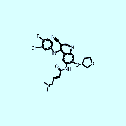 CN(C)C/C=C/C(=O)Nc1cc2c(Nc3ccc(F)c(Cl)c3)c(C#N)cnc2cc1O[C@H]1CCOC1